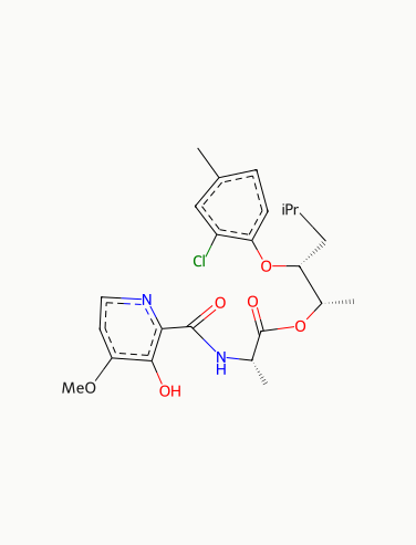 COc1ccnc(C(=O)N[C@@H](C)C(=O)O[C@@H](C)[C@@H](CC(C)C)Oc2ccc(C)cc2Cl)c1O